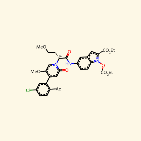 CCOC(=O)On1c(C(=O)OCC)cc2cc(NC(=O)[C@@H](CCOC)n3cc(OC)c(-c4cc(Cl)ccc4C(C)=O)cc3=O)ccc21